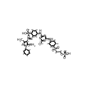 Cc1nn(-c2ccccc2)c(N)c1N=Nc1cc(Nc2nc(Cl)nc(Nc3ccc(S(=O)(=O)CCOS(=O)(=O)O)cc3)n2)ccc1S(=O)(=O)O